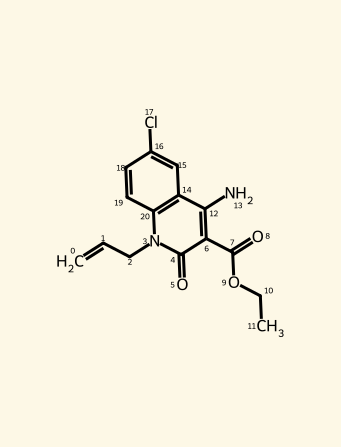 C=CCn1c(=O)c(C(=O)OCC)c(N)c2cc(Cl)ccc21